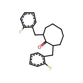 O=C1C(Cc2ccccc2F)CCCCCC1Cc1ccccc1F